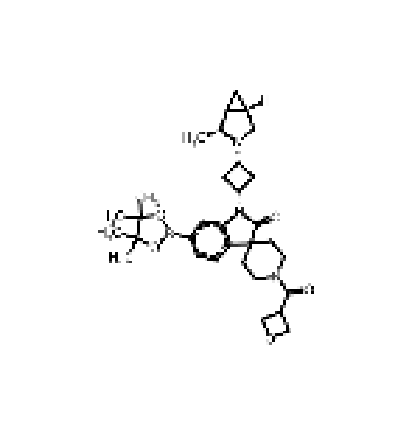 C[C@H]1C2C[C@@H]2CN1[C@H]1C[C@@H](N2C(=O)C3(CCN(C(=O)C4COC4)CC3)c3ccc(B4OC(C)(C)C(C)(C)O4)cc32)C1